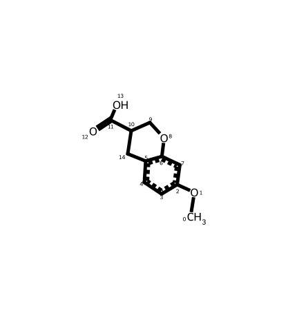 COc1ccc2c(c1)OCC(C(=O)O)C2